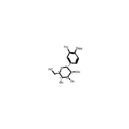 COc1ccc([C@H]2O[C@H](CO)[C@@H](O)[C@H](O)[C@@H]2O)cc1O